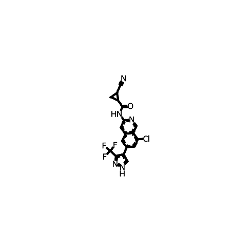 N#CC1CC1C(=O)Nc1cc2cc(-c3c[nH]nc3C(F)(F)F)cc(Cl)c2cn1